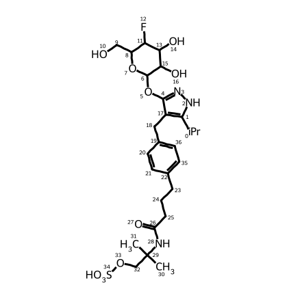 CC(C)c1[nH]nc(OC2OC(CO)C(F)C(O)C2O)c1Cc1ccc(CCCC(=O)NC(C)(C)COS(=O)(=O)O)cc1